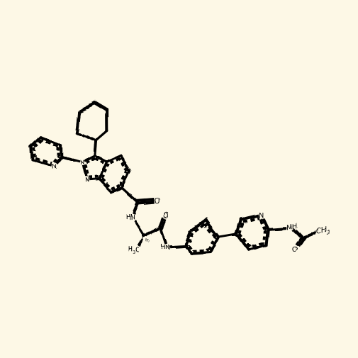 CC(=O)Nc1ccc(-c2ccc(NC(=O)[C@@H](C)NC(=O)c3ccc4c(C5CCCCC5)n(-c5ccccn5)nc4c3)cc2)cn1